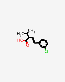 CC(C)C(/C=C/c1cccc(Cl)c1)C(=O)O